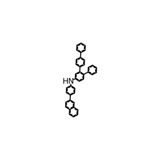 c1ccc(-c2ccc(-c3cc(Nc4ccc(-c5ccc6ccccc6c5)cc4)ccc3-c3ccccc3)cc2)cc1